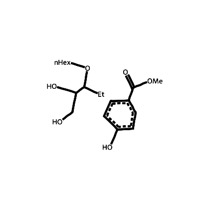 CCCCCCOC(CC)C(O)CO.COC(=O)c1ccc(O)cc1